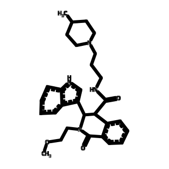 COCCN1C(=O)c2ccccc2C(C(=O)NCCCN2CCC(C)CC2)C1c1c[nH]c2ccccc12